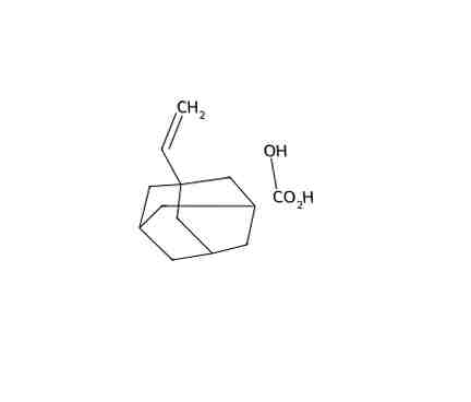 C=CC12CC3CC(CC(C3)C1)C2.O=C(O)O